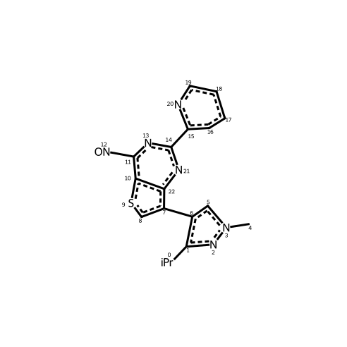 CC(C)c1nn(C)cc1-c1csc2c(N=O)nc(-c3ccccn3)nc12